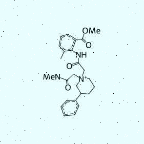 CNC(=O)C[N+]1(CC(=O)Nc2c(C)cccc2C(=O)OC)CCCC(c2ccccc2)C1